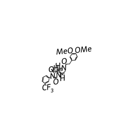 COc1ccc(CC(=O)N2C[C@@H]3C[C@H]2[C@@H]2C(=O)N(c4cccc(C(F)(F)F)c4)C(=O)N32)cc1OC